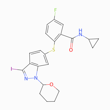 O=C(NC1CC1)c1cc(F)ccc1Sc1ccc2c(I)nn(C3CCCCO3)c2c1